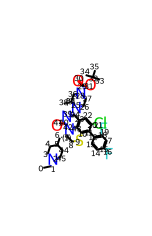 CCN1CCC(C[C@H]2CSc3c(-c4ccc(F)cc4F)c(Cl)cc4c(N5CCN(C(=O)OC(C)(C)C)C[C@@H]5C)nc(=O)n2c34)CC1